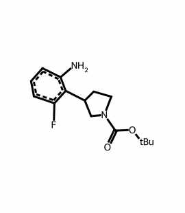 CC(C)(C)OC(=O)N1CCC(c2c(N)cccc2F)C1